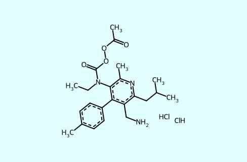 CCN(C(=O)OOC(C)=O)c1c(C)nc(CC(C)C)c(CN)c1-c1ccc(C)cc1.Cl.Cl